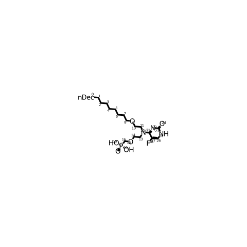 CCCCCCCCCCCCCCCCCCOCCN(CCOCP(=O)(O)O)c1nc(=O)[nH]cc1F